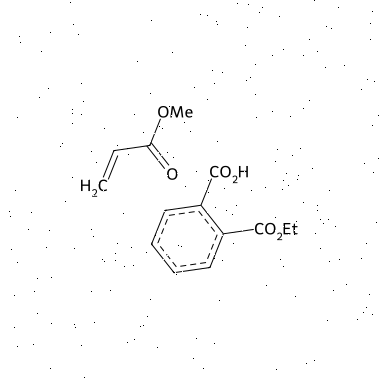 C=CC(=O)OC.CCOC(=O)c1ccccc1C(=O)O